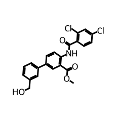 COC(=O)c1cc(-c2cccc(CO)c2)ccc1NC(=O)c1ccc(Cl)cc1Cl